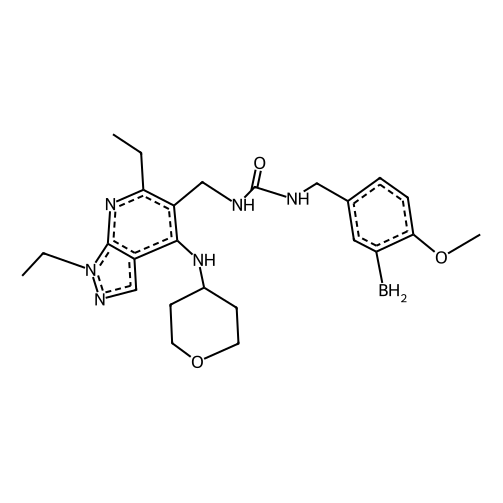 Bc1cc(CNC(=O)NCc2c(CC)nc3c(cnn3CC)c2NC2CCOCC2)ccc1OC